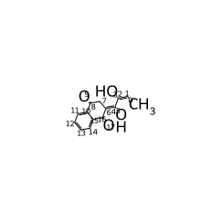 C/C=C(O)\C(O)=C1/CC(=O)c2ccccc2C1=O